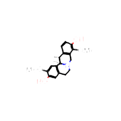 COc1cc2c(cc1O)CCN1Cc3c(ccc(O)c3OC)[C@H](C)[C@H]21